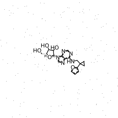 OC[C@H]1O[C@@H](n2cnc3c(NCC4(c5ccco5)CC4)ncnc32)C(O)C1O